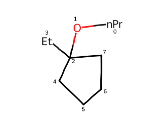 CCCOC1(CC)CCCC1